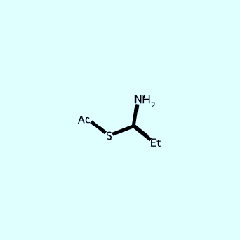 CCC(N)SC(C)=O